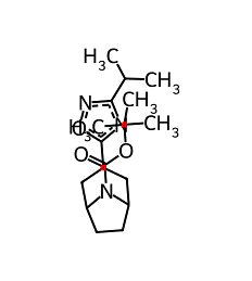 CC(C)c1noc(C2CC3CCC(C2)N3C(=O)OC(C)(C)C)n1